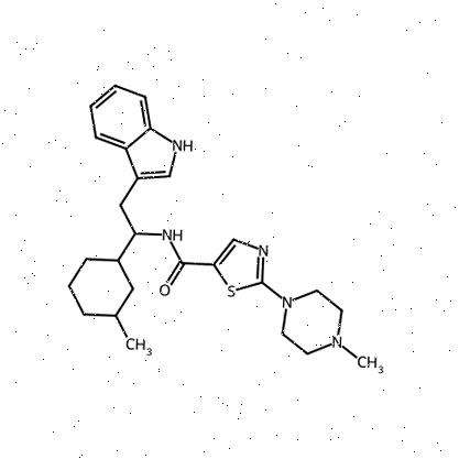 CC1CCCC(C(Cc2c[nH]c3ccccc23)NC(=O)c2cnc(N3CCN(C)CC3)s2)C1